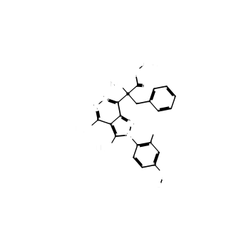 CCCCOC(=O)C(C#N)(Cc1ccccc1)c1nnc(C)c2c(C)n(-c3ccc(OCC)cc3F)nc12